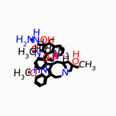 CC[C@]1(O)C[C@@H]2C[N@@](CCc3c([nH]c4ccccc34)[C@@](C(=O)OC)(c3cc(OC)cc4c3[C@@]35CCN6CC=C[C@@](C)(C[C@](O)(C(=O)NN)[C@@H]3N4C)[C@H]65)C2)C1